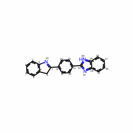 c1ccc2c(c1)CC(c1ccc(-c3nc4ccccc4[nH]3)cc1)=N2